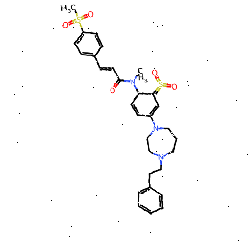 CN(C(=O)C=Cc1ccc(S(C)(=O)=O)cc1)C1C=CC(N2CCCN(CCc3ccccc3)CC2)=CC1=S(=O)=O